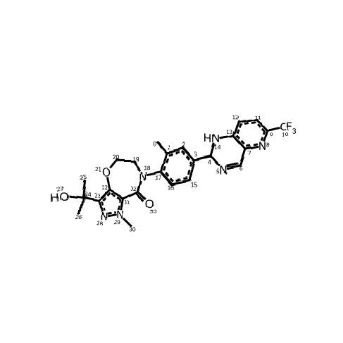 Cc1cc(C2N=Cc3nc(C(F)(F)F)ccc3N2)ccc1N1CCOc2c(C(C)(C)O)nn(C)c2C1=O